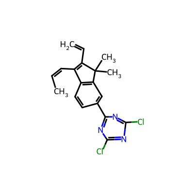 C=CC1=C(/C=C\C)c2ccc(-c3nc(Cl)nc(Cl)n3)cc2C1(C)C